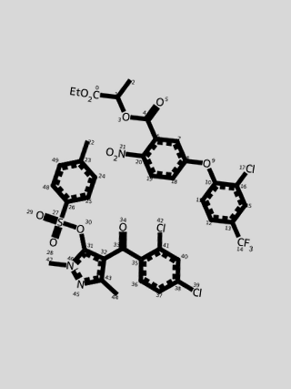 CCOC(=O)C(C)OC(=O)c1cc(Oc2ccc(C(F)(F)F)cc2Cl)ccc1[N+](=O)[O-].Cc1ccc(S(=O)(=O)Oc2c(C(=O)c3ccc(Cl)cc3Cl)c(C)nn2C)cc1